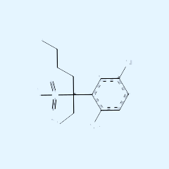 CCCCC(CC)(c1cc(N)ccc1N)S(=O)(=O)O